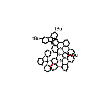 CC(C)(C)c1cc2c3c(c1)N(c1c(-c4ccccc4)cccc1-c1ccccc1)c1cc4c(cc1B3c1ccc(-n3c5ccc(C(C)(C)C)cc5c5cc(C(C)(C)C)ccc53)cc1N2c1c(-c2ccccc2)cccc1-c1ccccc1)C1(c2ccccc2-c2ccccc21)c1ccccc1-4